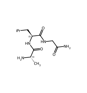 CC(C)C[C@H](NC(=O)[C@H](C)N)C(=O)NCC(N)=O